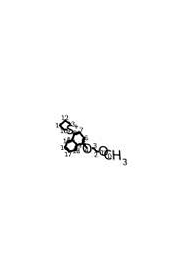 COCCOc1ccc([S+]2CCCC2)c2ccccc12